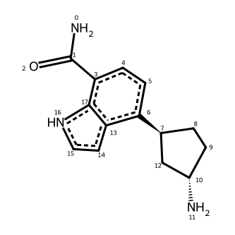 NC(=O)c1ccc([C@H]2CC[C@H](N)C2)c2cc[nH]c12